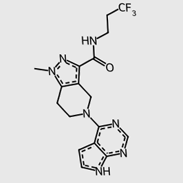 Cn1nc(C(=O)NCCC(F)(F)F)c2c1CCN(c1ncnc3[nH]ccc13)C2